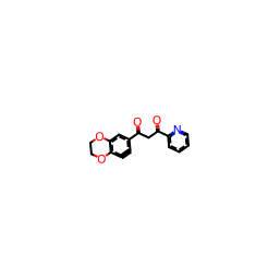 O=C(CC(=O)c1ccccn1)c1c#cc2c(c1)OCCO2